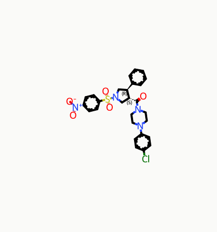 O=C([C@@H]1CN(S(=O)(=O)c2ccc([N+](=O)[O-])cc2)C[C@H]1c1ccccc1)N1CCN(c2ccc(Cl)cc2)CC1